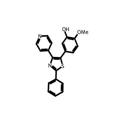 COc1ccc(-c2sc(-c3ccccc3)nc2-c2ccncc2)cc1O